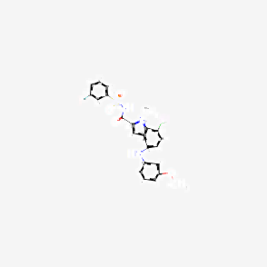 COc1cccc(Nc2ccc(Cl)c3c2cc(C(=O)NS(=O)(=O)c2cccc(F)c2)n3C)c1